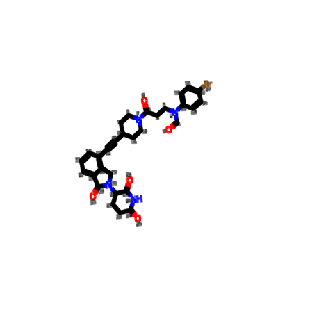 O=CN(CCC(=O)N1CCC(C#Cc2cccc3c2CN(C2CCC(=O)NC2=O)C3=O)CC1)c1ccc(Br)cc1